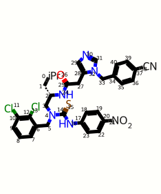 CC(C)C[C@@H](CN(Cc1cccc(Cl)c1Cl)C(=S)Nc1ccc([N+](=O)[O-])cc1)NC(=O)Cc1cncn1Cc1ccc(C#N)cc1